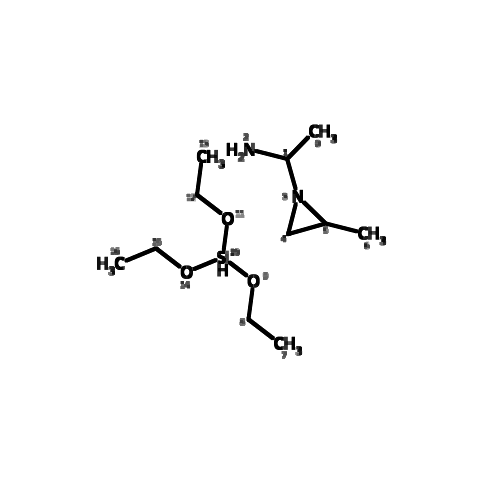 CC(N)N1CC1C.CCO[SiH](OCC)OCC